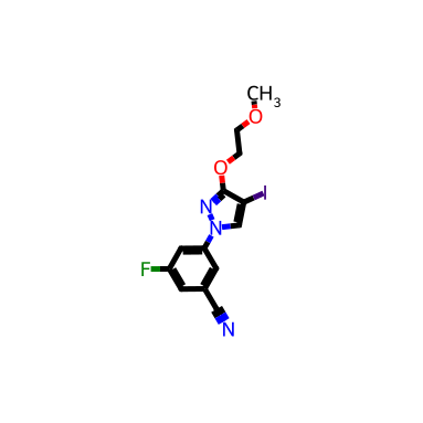 COCCOc1nn(-c2cc(F)cc(C#N)c2)cc1I